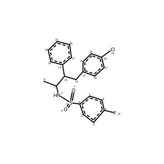 CC(NS(=O)(=O)c1ccc(F)cc1)C(Cc1ccc(Cl)cc1)c1ccccc1